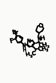 C=C(NCC1CCOCC1)c1cnc(Nc2ccc(Br)c(F)c2)cc1C(C)C